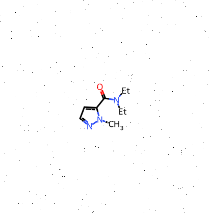 CCN(CC)C(=O)c1ccnn1C